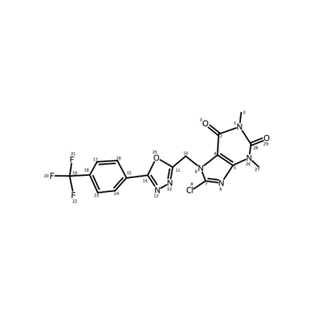 Cn1c(=O)c2c(nc(Cl)n2Cc2nnc(-c3ccc(C(F)(F)F)cc3)o2)n(C)c1=O